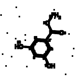 O=C(OP)c1cc(O)cc(O)c1